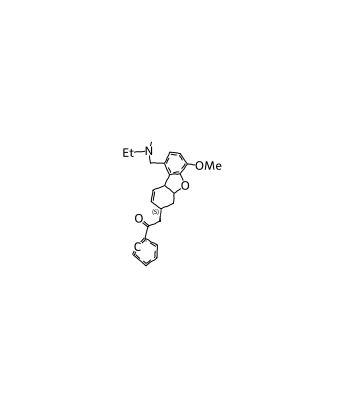 CCN(C)Cc1ccc(OC)c2c1C1C=C[C@H](CC(=O)c3ccccc3)CC1O2